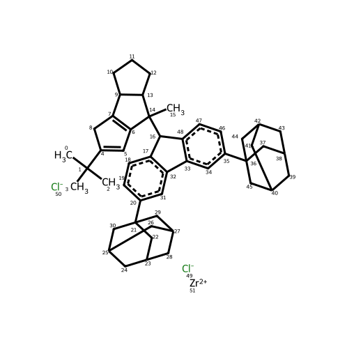 CC(C)(C)C1=CC2=C(C1)C1CCCC1C2(C)C1c2ccc(C34CC5CC(CC(C5)C3)C4)cc2-c2cc(C34CC5CC(CC(C5)C3)C4)ccc21.[Cl-].[Cl-].[Zr+2]